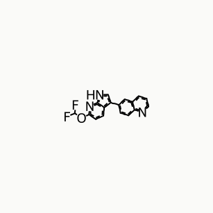 FC(F)Oc1ccc2c(-c3ccc4ncccc4c3)c[nH]c2n1